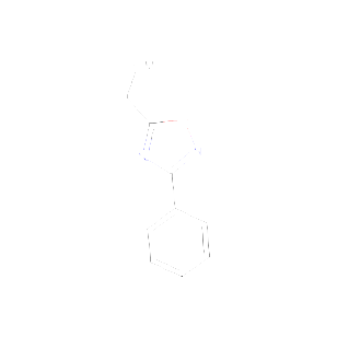 COCc1nc(-c2ccccc2)no1